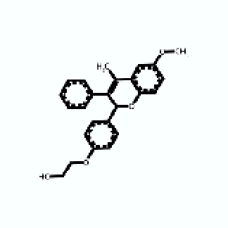 COc1ccc2c(c1)C(C)=C(c1ccccc1)C(c1ccc(OCCO)cc1)O2